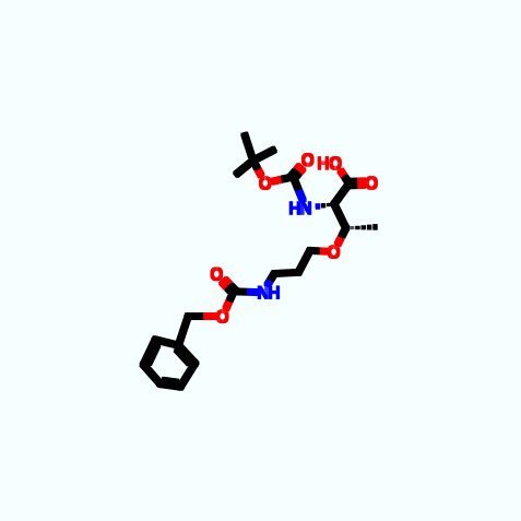 C[C@H](OCCCNC(=O)OCc1ccccc1)[C@H](NC(=O)OC(C)(C)C)C(=O)O